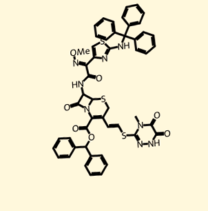 CON=C(C(=O)NC1C(=O)N2C(C(=O)OC(c3ccccc3)c3ccccc3)=C(C=CSc3n[nH]c(=O)c(=O)n3C)CSC12)c1csc(NC(c2ccccc2)(c2ccccc2)c2ccccc2)n1